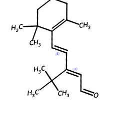 CC1=C(/C=C/C(=C/C=O)C(C)(C)C)C(C)(C)CCC1